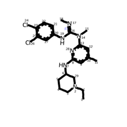 CCN1CCCC(Nc2cc(C)cc(N(C)/C(=N/C)Nc3ccc(Cl)c(Cl)c3)n2)C1